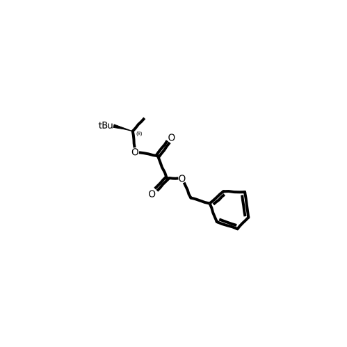 C[C@@H](OC(=O)C(=O)OCc1ccccc1)C(C)(C)C